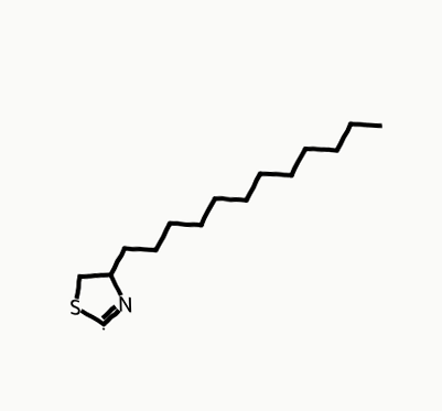 CCCCCCCCCCCCC1CS[C]=N1